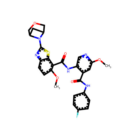 COc1cc(C(=O)Nc2ccc(F)cc2)c(NC(=O)c2c(OC)ccc3nc(N4C5COCC4C5)sc23)cn1